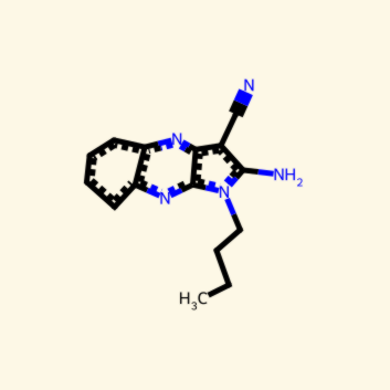 CCCCn1c(N)c(C#N)c2nc3ccccc3nc21